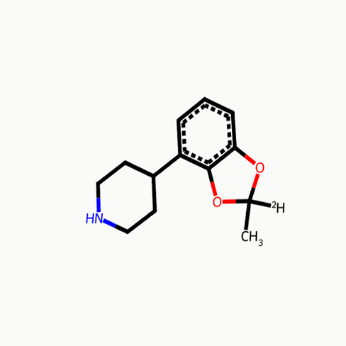 [2H]C1(C)Oc2cccc(C3CCNCC3)c2O1